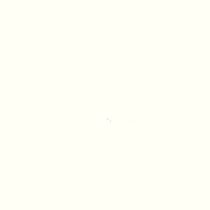 C=C(NC(=O)c1cccc(C)c1)c1ccccc1